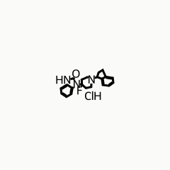 Cl.O=c1[nH]c2ccccc2n1C1(F)CCN(C2CCc3ccccc32)CC1